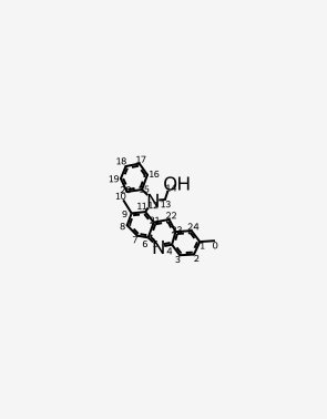 Cc1ccc2nc3ccc(C)c(N(CO)c4ccccc4)c3cc2c1